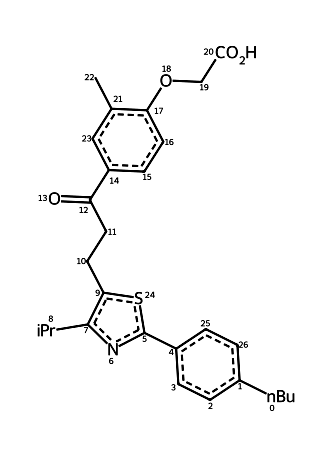 CCCCc1ccc(-c2nc(C(C)C)c(CCC(=O)c3ccc(OCC(=O)O)c(C)c3)s2)cc1